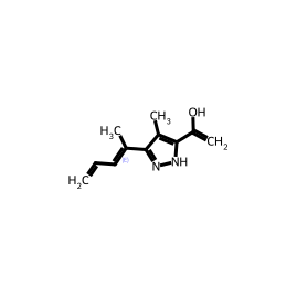 C=C/C=C(\C)c1n[nH]c(C(=C)O)c1C